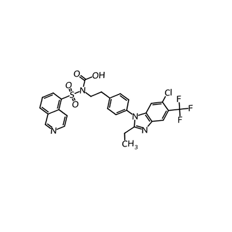 CCc1nc2cc(C(F)(F)F)c(Cl)cc2n1-c1ccc(CCN(C(=O)O)S(=O)(=O)c2cccc3cnccc23)cc1